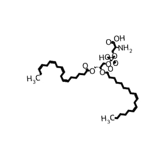 CC/C=C\C/C=C\C/C=C\C/C=C\CCCCC(=O)OC[C@H](COP(=O)(O)OC[C@H](N)C(=O)O)OC(=O)CCCCCCC/C=C\C/C=C\CCCCC